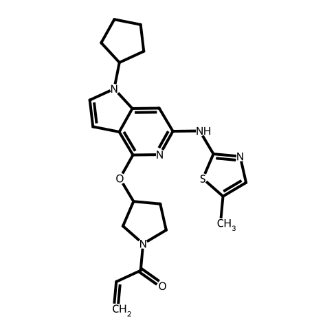 C=CC(=O)N1CCC(Oc2nc(Nc3ncc(C)s3)cc3c2ccn3C2CCCC2)C1